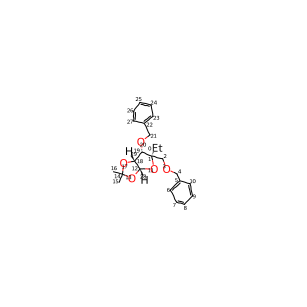 CC[C@]1(COCc2ccccc2)O[C@@H]2OC(C)(C)O[C@@H]2[C@@H]1OCc1ccccc1